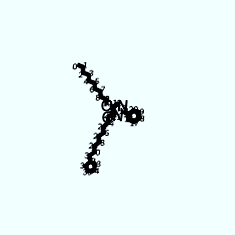 CCCCCCCCCCOc1cnc(-c2ccccc2)nc1OCCCCCCCCC1CCCC1